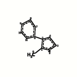 Cc1sccc1-c1ccccc1